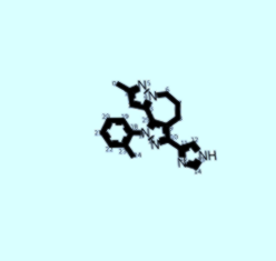 Cc1cc2n(n1)CCCc1c(-c3c[nH]cn3)nn(-c3ccccc3C)c1-2